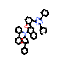 c1ccc(-c2ccc(N(c3ccccc3-c3ccccc3)c3c4ccccc4cc4c3oc3cccc(-c5nc(-c6ccccc6)nc(-c6ccccc6)n5)c34)cc2)cc1